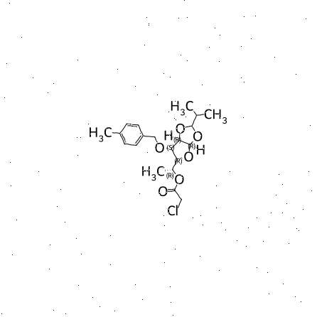 Cc1ccc(CO[C@@H]2[C@H]3OC(C(C)C)O[C@H]3O[C@@H]2[C@@H](C)OC(=O)CCl)cc1